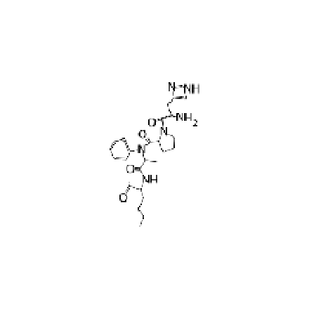 CCCCC([C]=O)NC(=O)C(C)N(C(=O)C1CCCN1C(=O)C(N)Cc1c[nH]cn1)c1ccccc1